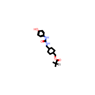 CCC(C)(C)C(=O)OCC1CCC(CNC(=O)Nc2ccc(O)cc2)CC1